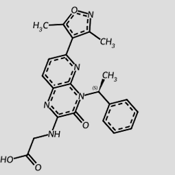 Cc1noc(C)c1-c1ccc2nc(NCC(=O)O)c(=O)n([C@@H](C)c3ccccc3)c2n1